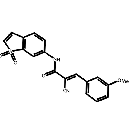 COc1cccc(C=C(C#N)C(=O)Nc2ccc3c(c2)S(=O)(=O)C=C3)c1